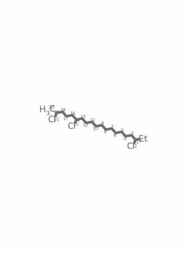 CCC(Cl)CCCCCCCCCCCC(Cl)CCCC(C)Cl